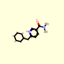 CCN(CC)C(=O)c1ccc(CC2CCCCC2)nc1